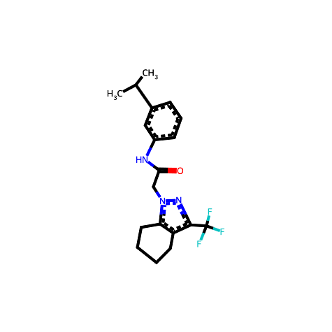 CC(C)c1cccc(NC(=O)Cn2nc(C(F)(F)F)c3c2CCCC3)c1